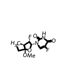 CO[C@]1(CI)O[C@@H](n2cc(F)c(=O)[nH]c2=O)[C@@H](F)[C@@H]1C